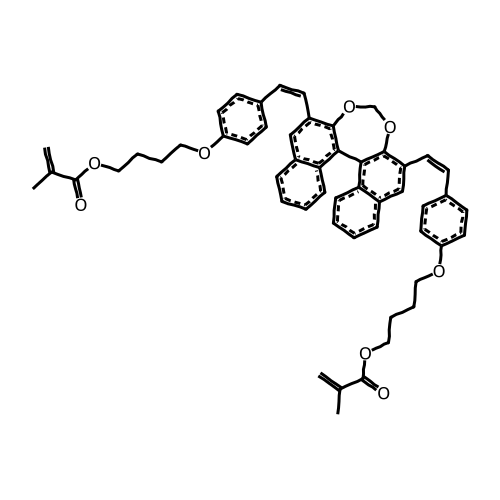 C=C(C)C(=O)OCCCCOc1ccc(/C=C\c2cc3ccccc3c3c2OCOc2c(/C=C\c4ccc(OCCCCOC(=O)C(=C)C)cc4)cc4ccccc4c2-3)cc1